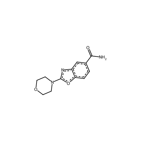 NC(=O)c1ccc2oc(N3CCOCC3)nc2c1